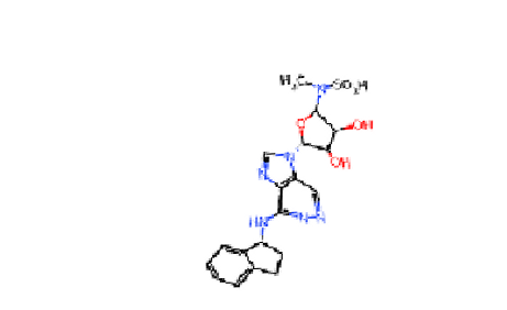 CN([C@@H]1O[C@@H](n2cnc3c(N[C@H]4CCc5ccccc54)nncc32)[C@H](O)[C@@H]1O)S(=O)(=O)O